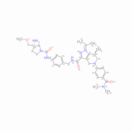 COC[C@]1(N)CCN(C(=O)Nc2ccc(CNC(=O)c3nn(C(C)C)c4c3CN(c3ccc(C(=O)N(C)C)cc3)C[C@@H]4C)cc2)C1